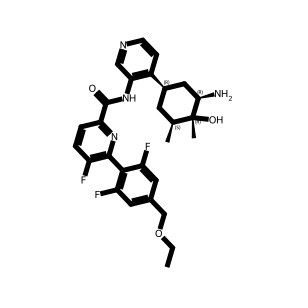 CCOCc1cc(F)c(-c2nc(C(=O)Nc3cnccc3[C@H]3C[C@@H](N)[C@](C)(O)[C@@H](C)C3)ccc2F)c(F)c1